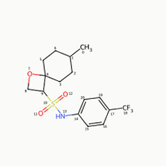 CC1CCC2(CC1)OCC2S(=O)(=O)Nc1ccc(C(F)(F)F)cc1